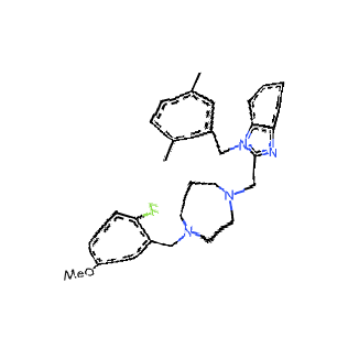 COc1ccc(F)c(CN2CCCN(Cc3nc4ccccc4n3Cc3cc(C)ccc3C)CC2)c1